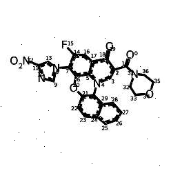 O=C(c1cn2c3c(c(-n4cnc([N+](=O)[O-])c4)c(F)cc3c1=O)Oc1ccc3ccccc3c1-2)N1CCOCC1